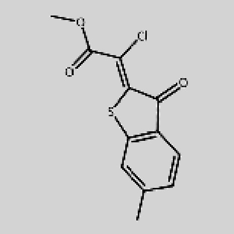 COC(=O)C(Cl)=C1Sc2cc(C)ccc2C1=O